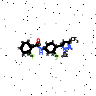 CCn1nc(C(F)(F)F)cc1-c1ccc(NC(=O)c2ccccc2F)cc1F